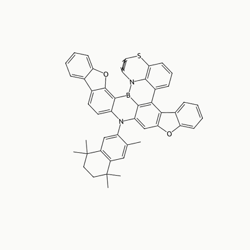 Cc1cc2c(cc1N1c3cc4oc5ccccc5c4c4c3B(c3c1ccc1c3oc3ccccc31)N1c3ccccc3Sc3cccc-4c31)C(C)(C)CCC2(C)C